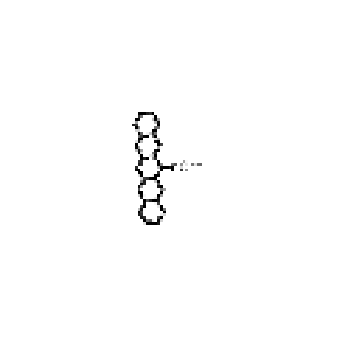 CCCCCCCCc1c2cc3ccccc3cc2cc2cc3ccccc3cc12